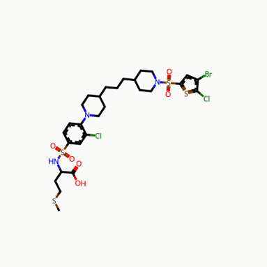 CSCCC(NS(=O)(=O)c1ccc(N2CCC(CCCC3CCN(S(=O)(=O)c4cc(Br)c(Cl)s4)CC3)CC2)c(Cl)c1)C(=O)O